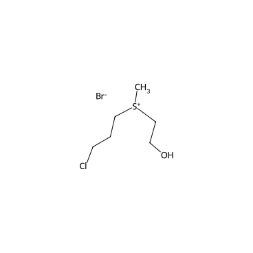 C[S+](CCO)CCCCl.[Br-]